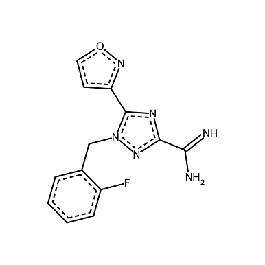 N=C(N)c1nc(-c2ccon2)n(Cc2ccccc2F)n1